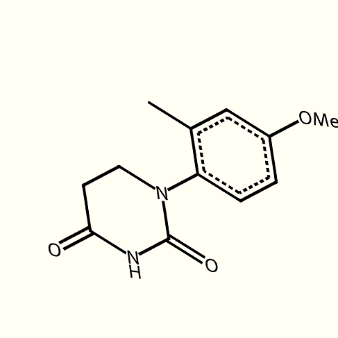 COc1ccc(N2CCC(=O)NC2=O)c(C)c1